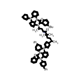 CC/C(=C\CC(C)N1c2cccc3c2B(c2ccccc2N3c2ccccc2)c2oc3ccc(C(C)(C)C)cc3c21)C(C)(C)CCC(C)c1ccc(N2c3cc(C(C)C)ccc3B3c4oc5ccccc5c4N(c4ccc(C(C)C)cc4)c4cccc2c43)cc1